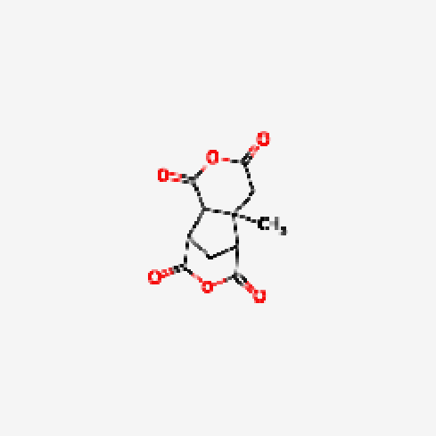 CC12CC(=O)OC(=O)C1C1CC2C(=O)OC1=O